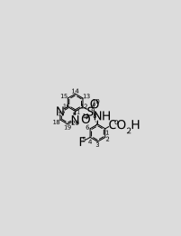 O=C(O)c1ccc(F)cc1NS(=O)(=O)c1cccc2nccnc12